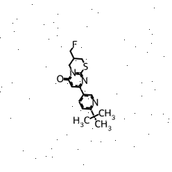 CC(C)(C)c1ccc(-c2cc(=O)n3c(n2)SCC(CF)C3)cn1